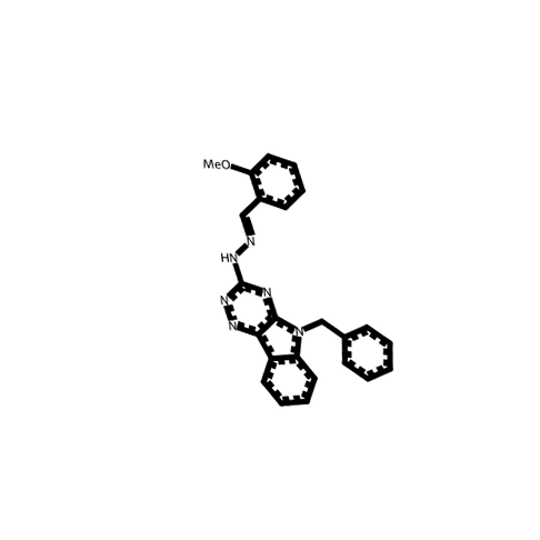 COc1ccccc1/C=N/Nc1nnc2c3ccccc3n(Cc3ccccc3)c2n1